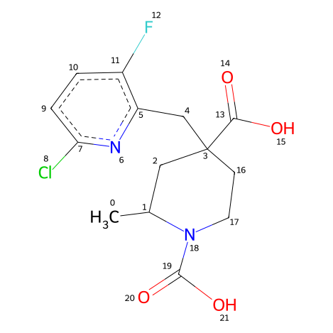 CC1CC(Cc2nc(Cl)ccc2F)(C(=O)O)CCN1C(=O)O